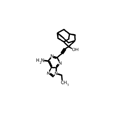 CCn1cnc2c(N)nc(C#CC3(O)C4CC5CC(C4)CC3C5)nc21